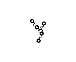 c1ccc(COC2=C(c3ccc(OCc4ccccc4)cc3)Oc3cc(OCc4ccccc4)ccc3C2)cc1